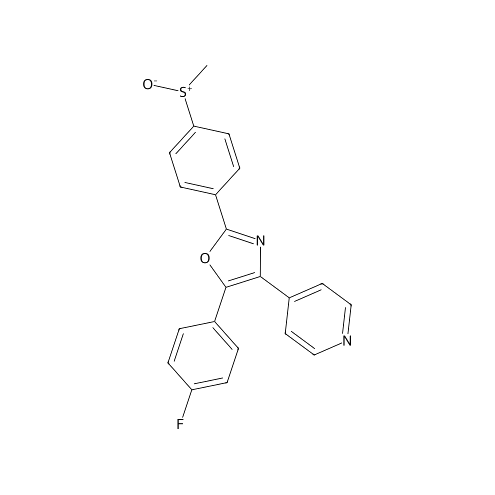 C[S+]([O-])c1ccc(-c2nc(-c3ccncc3)c(-c3ccc(F)cc3)o2)cc1